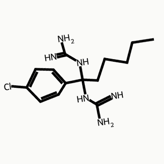 CCCCCC(NC(=N)N)(NC(=N)N)c1ccc(Cl)cc1